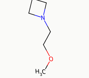 COCCN1C[CH]C1